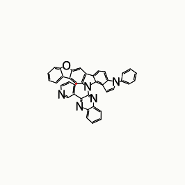 c1ccc(-n2ccc3c2ccc2c4cc5oc6ccccc6c5cc4n(-c4nc5ccccc5nc4-c4cccnc4)c23)cc1